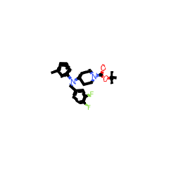 Cc1cccc(N(Cc2ccc(F)c(F)c2)C2CCN(C(=O)OC(C)(C)C)CC2)c1